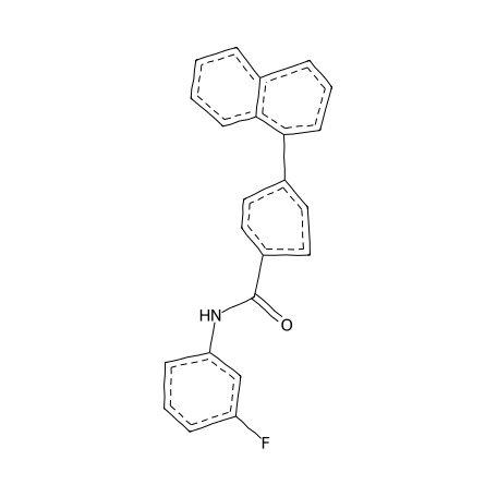 O=C(Nc1cccc(F)c1)c1ccc(-c2cccc3ccccc23)cc1